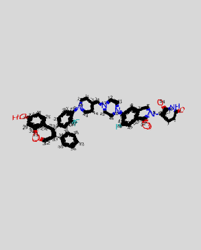 O=C1CC[C@H](N2Cc3cc(N4CCN(CC5CCN(c6ccc([C@H]7c8ccc(O)cc8OC[C@H]7c7ccccc7)cc6F)CC5)CC4)c(F)cc3C2=O)C(=O)N1